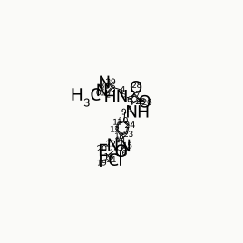 Cn1cc(CNc2c(NCc3ccc(-c4noc(C(F)(F)Cl)n4)cc3)c(=O)c2=O)cn1